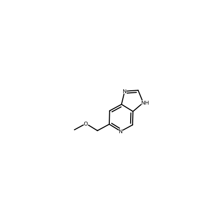 COCc1cc2nc[nH]c2cn1